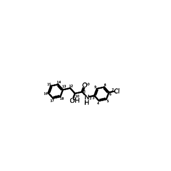 O=C(Nc1ccc(Cl)cc1)C(O)Cc1ccccc1